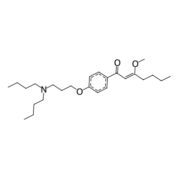 CCCCC(=CC(=O)c1ccc(OCCCN(CCCC)CCCC)cc1)OC